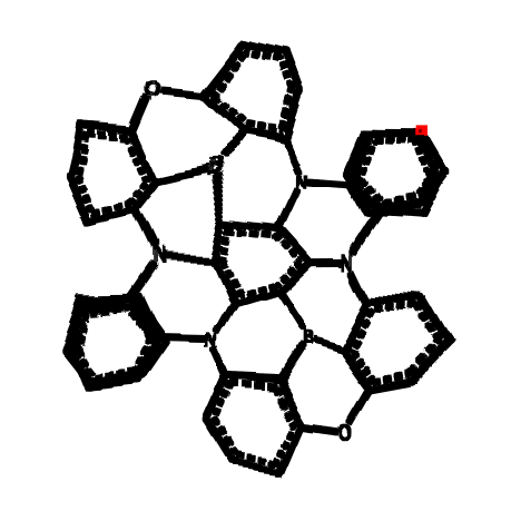 c1ccc(N2c3cccc4c3B3c5c(cccc5N(c5ccccc5)c5c3c2c2c3c5N(c5ccccc5)c5cccc6c5B3c3c(cccc3N2c2ccccc2)O6)O4)cc1